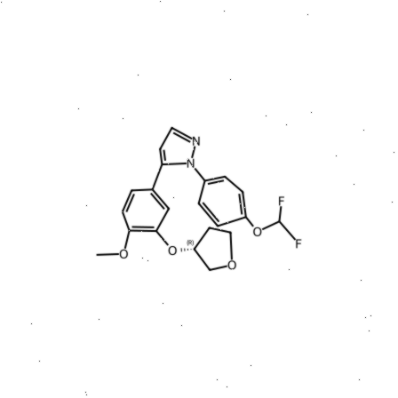 COc1ccc(-c2ccnn2-c2ccc(OC(F)F)cc2)cc1O[C@@H]1CCOC1